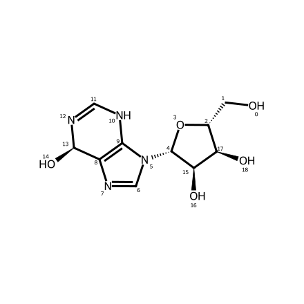 OC[C@H]1O[C@@H](n2cnc3c2NC=N[C@@H]3O)[C@H](O)[C@@H]1O